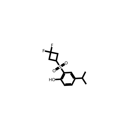 CC(C)c1ccc(O)c(S(=O)(=O)C2CC(F)(F)C2)c1